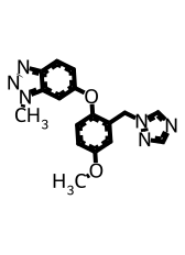 COc1ccc(Oc2ccc3nnn(C)c3c2)c(Cn2cncn2)c1